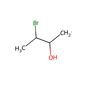 [CH2]C(O)C(C)Br